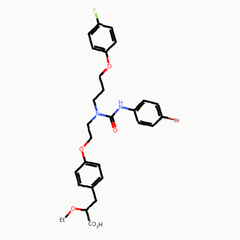 CCOC(Cc1ccc(OCCN(CCCOc2ccc(F)cc2)C(=O)Nc2ccc(Br)cc2)cc1)C(=O)O